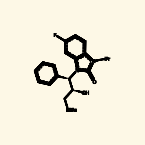 CNC[C@@H](O)[C@H](c1ccccc1)n1c(=O)n(C(C)C)c2ccc(F)cc21